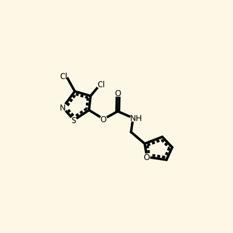 O=C(NCc1ccco1)Oc1snc(Cl)c1Cl